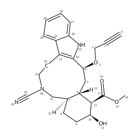 C#CCO[C@H]1C[C@H]2[C@@H](CC[C@H](O)[C@@H]2C(=O)OC)CN(C#N)CCc2c1[nH]c1ccccc21